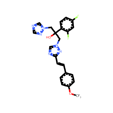 OC(Cn1cncn1)(Cn1cnc(/C=C/c2ccc(OC(F)(F)F)cc2)n1)c1ccc(F)cc1F